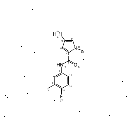 Cc1cc(NC(=O)c2cc(N)cn2C)ccc1F